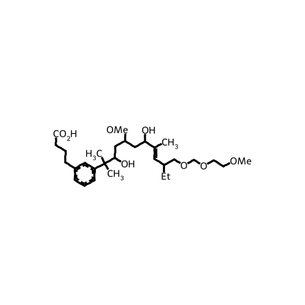 CCC(C=C(C)C(O)CC(CC(O)C(C)(C)c1cccc(CCCC(=O)O)c1)OC)COCOCCOC